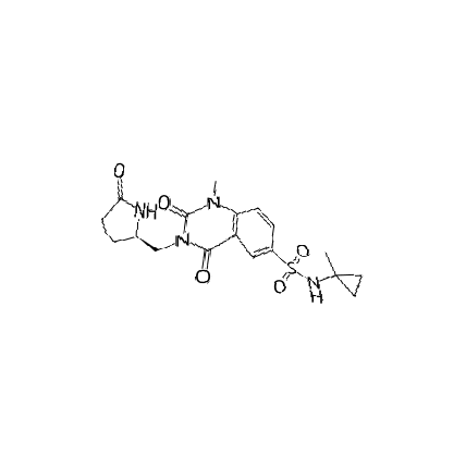 Cn1c(=O)n(C[C@H]2CCC(=O)N2)c(=O)c2cc(S(=O)(=O)NC3(C)CC3)ccc21